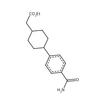 CCOC(=O)CC1CCC(c2ccc(C(N)=O)cc2)CC1